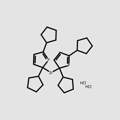 C1=C[C]([Zr][C]2(C3CCCC3)C=CC(C3CCCC3)=P2)(C2CCCC2)P=C1C1CCCC1.Cl.Cl